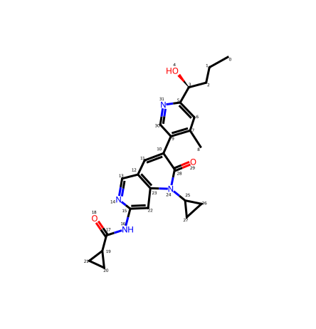 CCC[C@H](O)c1cc(C)c(-c2cc3cnc(NC(=O)C4CC4)cc3n(C3CC3)c2=O)cn1